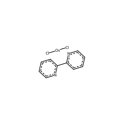 [Cl][Os][Cl].c1ccc(-c2ccccn2)nc1